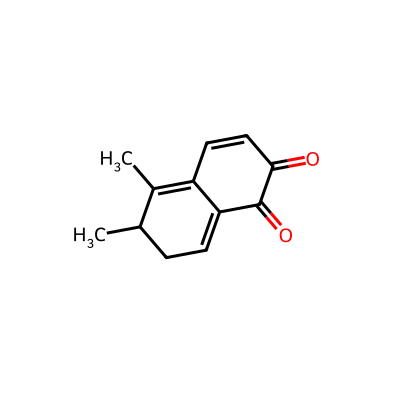 CC1=C2C=CC(=O)C(=O)C2=CCC1C